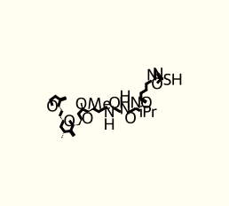 C=C1CCO[C@H]1CC[C@H]1C[C@@H](C)C(=C)[C@@H](C[C@H]2C[C@@H](OC)[C@@H](CCCNC(=O)CNC(=O)C(NC(=O)CCCc3nnc(S)o3)C(C)C)O2)O1